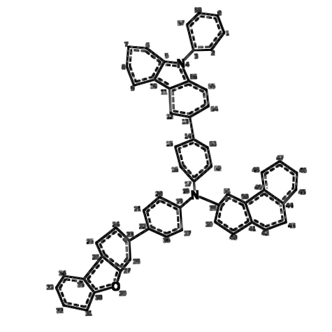 c1ccc(-n2c3ccccc3c3cc(-c4ccc(N(c5ccc(-c6ccc7c(c6)oc6ccccc67)cc5)c5ccc6ccc7ccccc7c6c5)cc4)ccc32)cc1